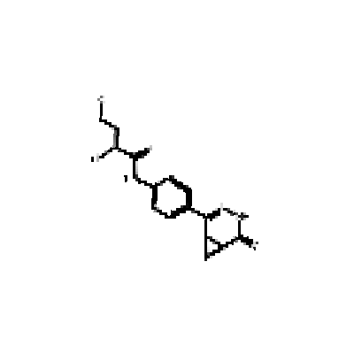 O=C(Nc1ccc(C2=NNC(=O)C3CC23)cc1)C(Cl)CCCl